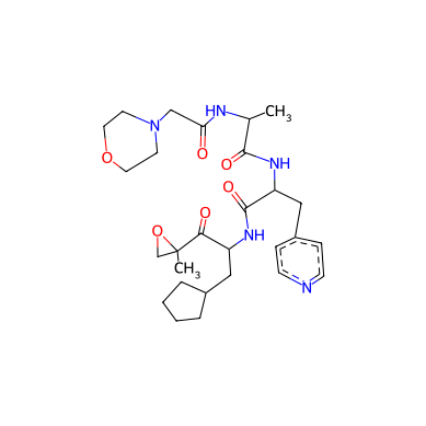 CC(NC(=O)CN1CCOCC1)C(=O)NC(Cc1ccncc1)C(=O)NC(CC1CCCC1)C(=O)C1(C)CO1